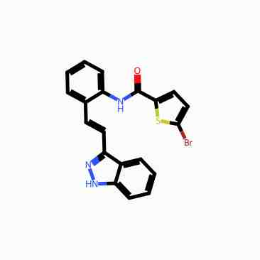 O=C(Nc1ccccc1C=Cc1n[nH]c2ccccc12)c1ccc(Br)s1